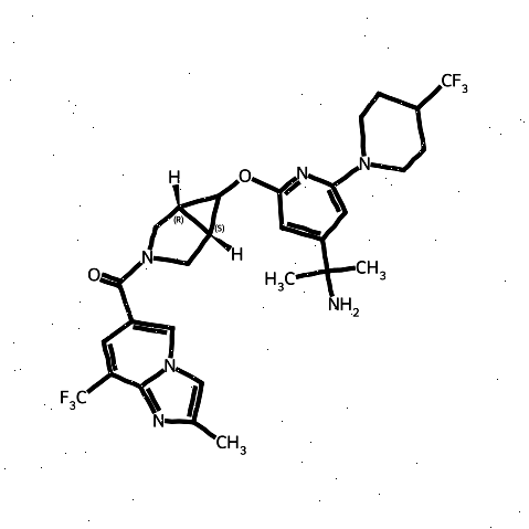 Cc1cn2cc(C(=O)N3C[C@@H]4C(Oc5cc(C(C)(C)N)cc(N6CCC(C(F)(F)F)CC6)n5)[C@@H]4C3)cc(C(F)(F)F)c2n1